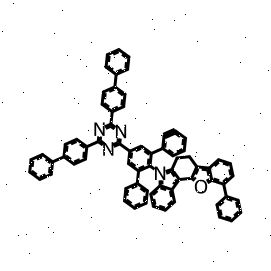 c1cccc(-c2cc(-c3nc(-c4ccc(-c5ccccc5)cc4)nc(-c4ccc(-c5ccccc5)cc4)n3)cc(-c3ccccc3)c2-n2c3c(c4ccccc42)-c2oc4c(-c5ccccc5)cccc4c2CC3)c#1